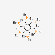 CCP(CC)Cc1c(CP(CC)CC)c(CP(CC)CC)c(CP(CC)CC)c(CP(CC)CC)c1CP(CC)CC